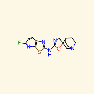 Fc1ccc2nc(NC3=NC[C@@]4(CN5CCC4CC5)O3)sc2n1